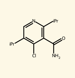 CC(C)c1cnc(C(C)C)c(C(N)=O)c1Cl